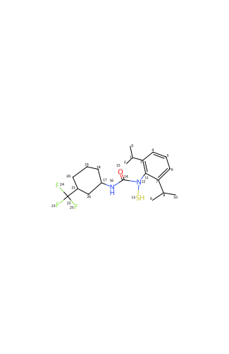 CC(C)c1cccc(C(C)C)c1N(S)C(=O)NC1CCCC(C(F)(F)F)C1